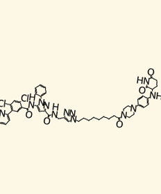 O=C1CCC(Nc2ccc(N3CCN(C(=O)CCCCCCCCn4cc(CNC(=O)c5cc(NC(=O)c6cc(-c7ccccn7)c(Cl)cc6Cl)n(-c6ccccc6)n5)nn4)CC3)cc2)C(=O)N1